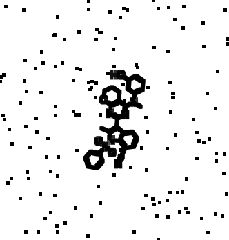 Cc1c(-c2nc3c(c(N(C)c4cccc(O)c4)n2)CCCO3)c2cccc(C#N)c2n1S(=O)(=O)c1ccccc1